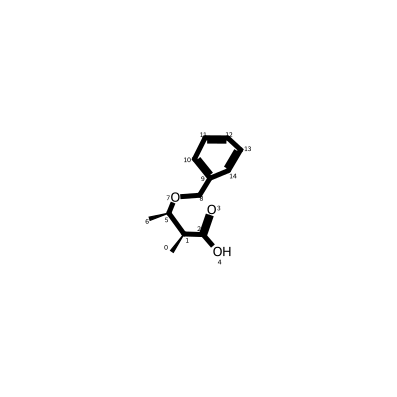 C[C@H](C(=O)O)[C@@H](C)OCc1ccccc1